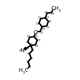 CCCCCCC1(C#N)CCC(OCC2CCC(CCC)CC2)CC1